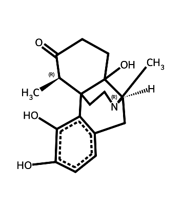 C[C@H]1C(=O)CCC2(O)[C@H]3Cc4ccc(O)c(O)c4C12CCN3C